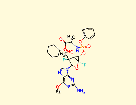 CCOc1nc(N)nc2c1ncn2[C@@H]1O[C@]2(F)[C@@H](OP(=O)(NC(C)C(=O)OC3CCCCC3)Oc3ccccc3)[C@]2(O)[C@@]1(C)F